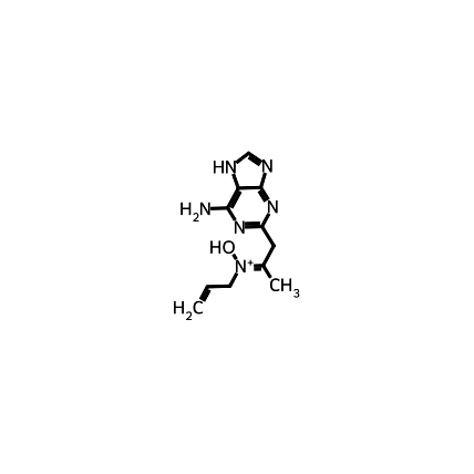 C=CC[N+](O)=C(C)Cc1nc(N)c2[nH]cnc2n1